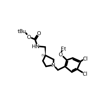 CCOc1cc(Cl)c(Cl)cc1CN1CC[C@@H](CNC(=O)OC(C)(C)C)C1